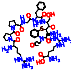 N=C(N)NCCCC(N)C(=O)N1CCCC1C(=O)N1CCCC1C(=O)NCC(=O)NC(Cc1ccccc1)C(=O)NC(CO)C(=O)C1Sc2ccccc2N(C=C=O)C(=O)[C@@H]1N.N=C(N)NCCCC(N)C(=O)O